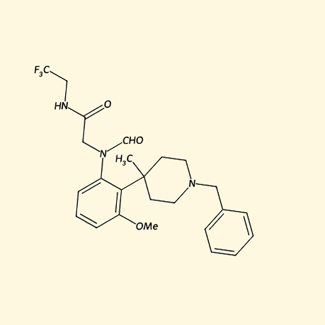 COc1cccc(N(C=O)CC(=O)NCC(F)(F)F)c1C1(C)CCN(Cc2ccccc2)CC1